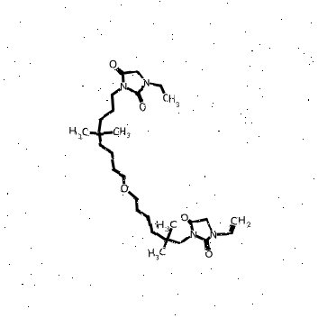 C=CN1CC(=O)N(CC(C)(C)CCCCOCCCCC(C)(C)CCCN2C(=O)CN(CC)C2=O)C1=O